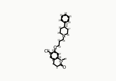 CN1C(=O)CCc2cc(Cl)c(OCCCN3CCC(c4ccccc4)CC3)cc21